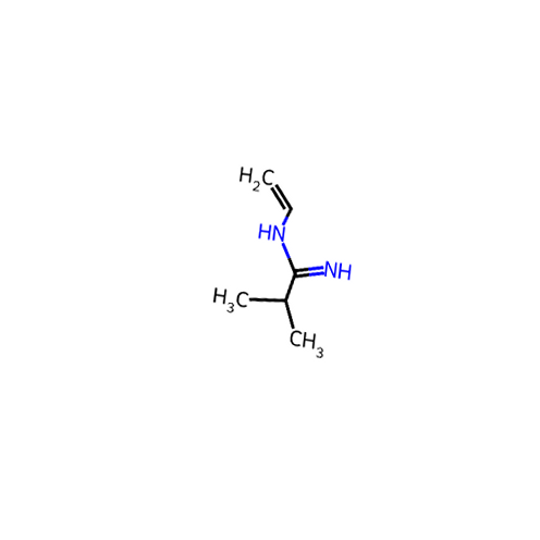 C=CNC(=N)C(C)C